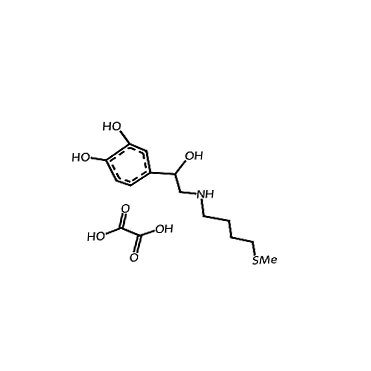 CSCCCCNCC(O)c1ccc(O)c(O)c1.O=C(O)C(=O)O